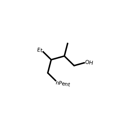 CCCCCCC(CC)C(C)CO